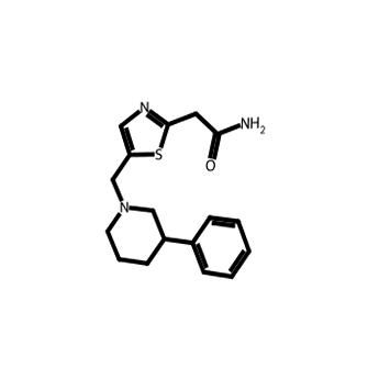 NC(=O)Cc1ncc(CN2CCCC(c3ccccc3)C2)s1